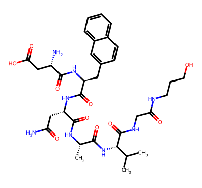 CC(C)[C@H](NC(=O)[C@H](C)NC(=O)[C@H](CC(N)=O)NC(=O)[C@H](Cc1ccc2ccccc2c1)NC(=O)[C@@H](N)CC(=O)O)C(=O)NCC(=O)NCCCO